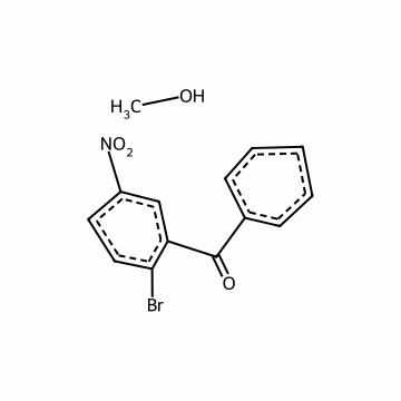 CO.O=C(c1ccccc1)c1cc([N+](=O)[O-])ccc1Br